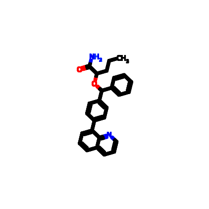 CCCC(OC(c1ccccc1)c1ccc(-c2cccc3cccnc23)cc1)C(N)=O